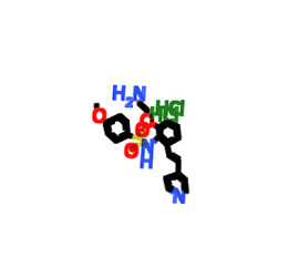 COc1ccc(S(=O)(=O)Nc2c(C=Cc3ccncc3)cccc2OCCN)cc1.Cl.Cl